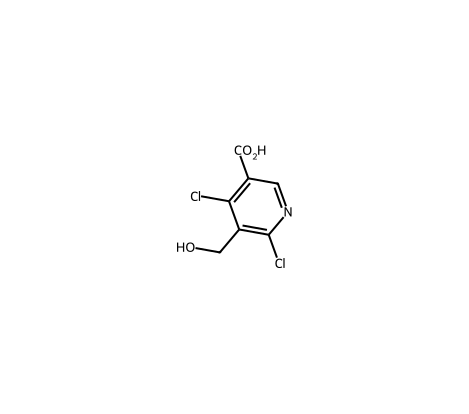 O=C(O)c1cnc(Cl)c(CO)c1Cl